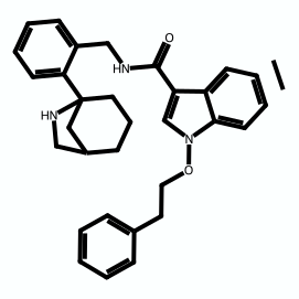 CC.O=C(NCc1ccccc1C12CCCC(CN1)C2)c1cn(OCCc2ccccc2)c2ccccc12